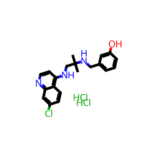 CC(C)(CNc1ccnc2cc(Cl)ccc12)NCc1cccc(O)c1.Cl.Cl